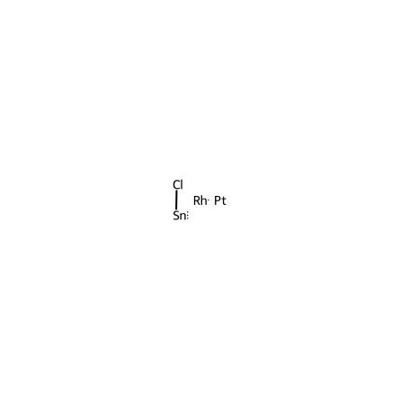 [Cl][Sn].[Pt].[Rh]